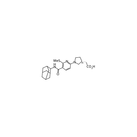 CSc1nc(N2CC[C@H](CC(=O)O)C2)ccc1C(=O)NC1C2CC3CC(C2)CC1C3